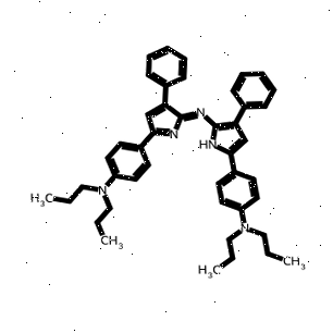 CCCN(CCC)c1ccc(C2=NC(=Nc3[nH]c(-c4ccc(N(CCC)CCC)cc4)cc3-c3ccccc3)C(c3ccccc3)=C2)cc1